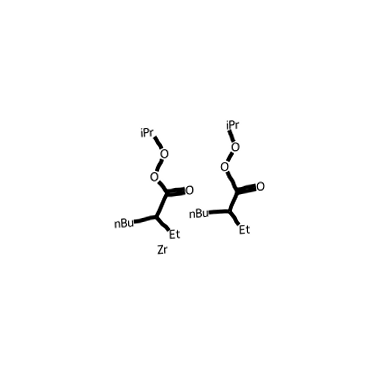 CCCCC(CC)C(=O)OOC(C)C.CCCCC(CC)C(=O)OOC(C)C.[Zr]